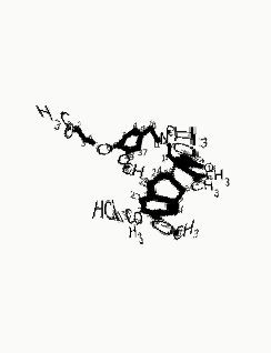 COCCCOc1ccc(CCN(C)CCC(C(=O)O)(C(C)C)[C@@H]2CCc3cc(OC)c(OC)cc3C2)cc1OC.Cl